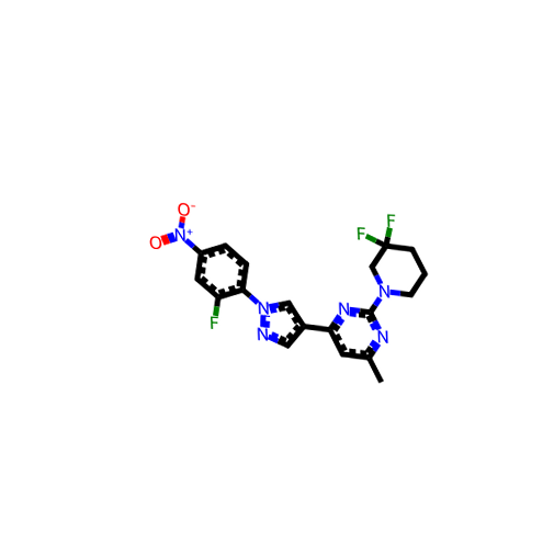 Cc1cc(-c2cnn(-c3ccc([N+](=O)[O-])cc3F)c2)nc(N2CCCC(F)(F)C2)n1